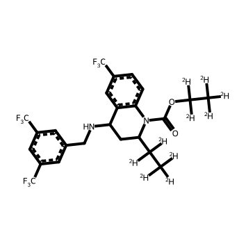 [2H]C([2H])([2H])C([2H])([2H])OC(=O)N1c2ccc(C(F)(F)F)cc2C(NCc2cc(C(F)(F)F)cc(C(F)(F)F)c2)CC1C([2H])([2H])C([2H])([2H])[2H]